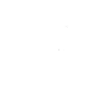 COc1ccc(O)c(-c2ccccc2/C=C/c2ccncc2)c1